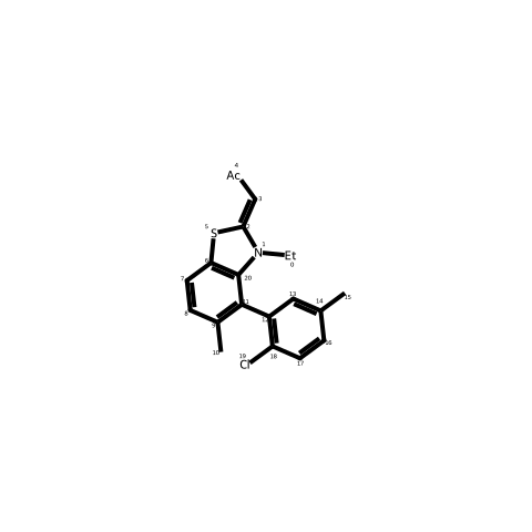 CCN1/C(=C/C(C)=O)Sc2ccc(C)c(-c3cc(C)ccc3Cl)c21